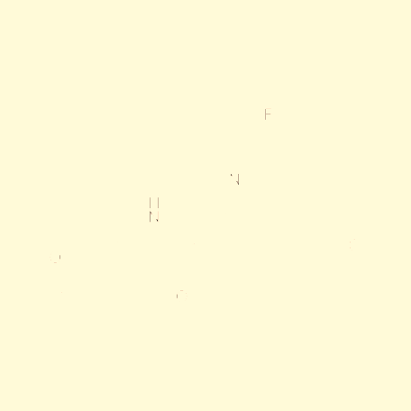 O=C(NC1CCOC1)c1cc(Cl)cc(F)n1